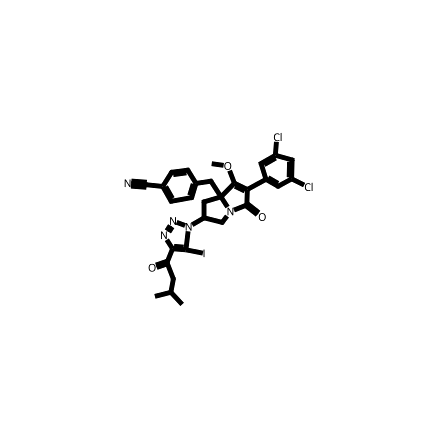 COC1=C(c2cc(Cl)cc(Cl)c2)C(=O)N2CC(n3nnc(C(=O)CC(C)C)c3I)CC12Cc1ccc(C#N)cc1